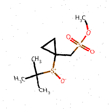 COS(=O)(=O)CC1([S+]([O-])C(C)(C)C)CC1